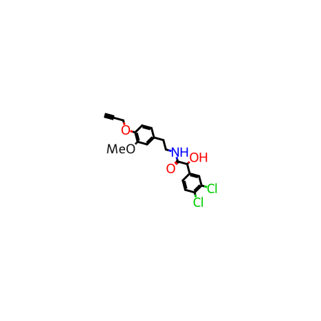 C#CCOc1ccc(CCNC(=O)C(O)c2ccc(Cl)c(Cl)c2)cc1OC